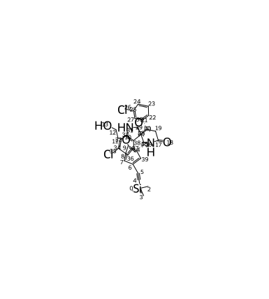 C[Si](C)(C)C#Cc1ccc(OCCO)c([C@H]2NC(=O)C[C@@H](c3cccc(Cl)c3)[C@]23C(=O)Nc2cc(Cl)ccc23)c1